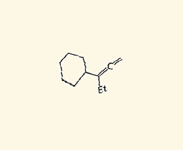 C=C=C(CC)C1CCCCC1